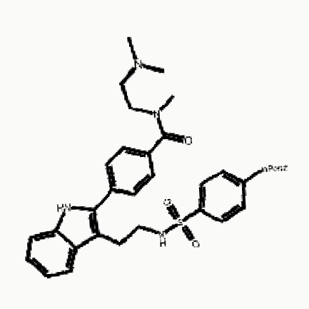 CCCCCc1ccc(S(=O)(=O)NCCc2c(-c3ccc(C(=O)N(C)CCN(C)C)cc3)[nH]c3ccccc23)cc1